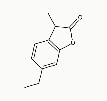 CCc1ccc2c(c1)OC(=O)C2C